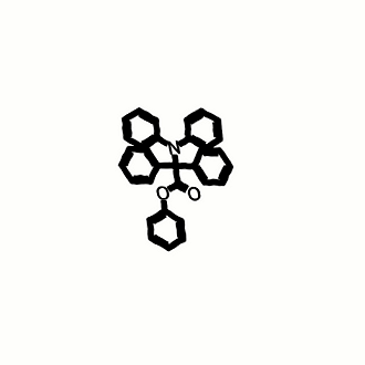 O=C(Oc1ccccc1)C(c1ccccc1)(c1ccccc1)N(c1ccccc1)c1ccccc1